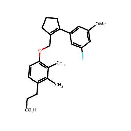 COc1cc(F)cc(C2=C(COc3ccc(CCC(=O)O)c(C)c3C)CCC2)c1